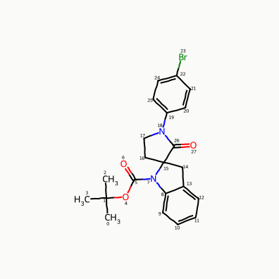 CC(C)(C)OC(=O)N1c2ccccc2CC12CCN(c1ccc(Br)cc1)C2=O